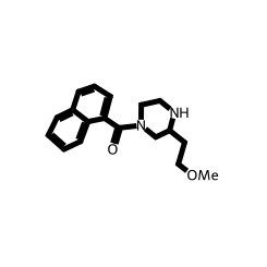 COCCC1CN(C(=O)c2cccc3ccccc23)CCN1